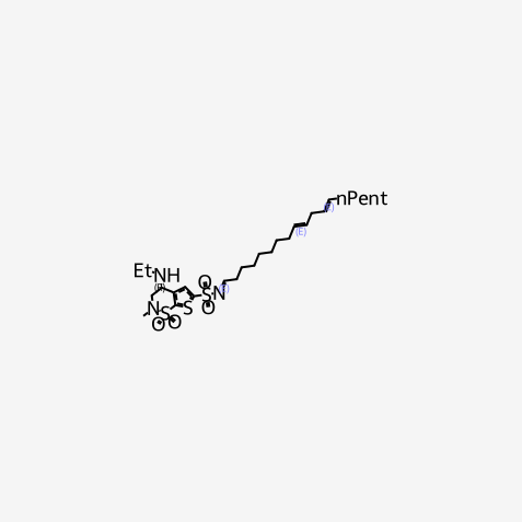 CCCCC/C=C/C/C=C/CCCCCCC/C=N/S(=O)(=O)c1cc2c(s1)S(=O)(=O)N(C)C[C@@H]2NCC